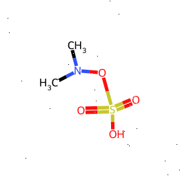 CN(C)OS(=O)(=O)O